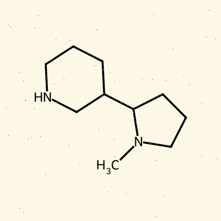 CN1CCCC1C1CCCNC1